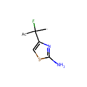 [CH2]C(F)(C(C)=O)c1csc(N)n1